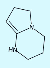 C1=C2NCCCN2CC1